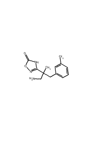 CC(CN)(Cc1cccc(C(F)(F)F)c1)c1noc(=O)[nH]1